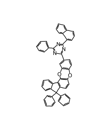 c1ccc(-c2nc(-c3ccc4c(c3)Oc3c(ccc5c3-c3ccccc3C5(c3ccccc3)c3ccccc3)O4)nc(-c3cccc4ccccc34)n2)cc1